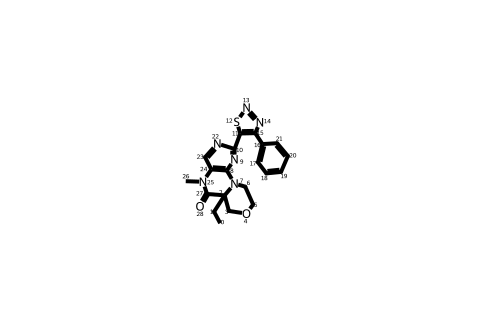 CCC12COCCN1c1nc(-c3snnc3-c3ccccc3)ncc1N(C)C2=O